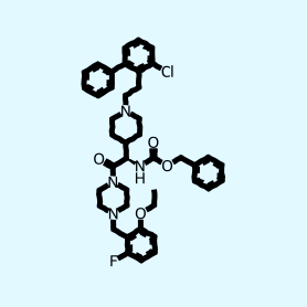 CCOc1cccc(F)c1CN1CCN(C(=O)[C@H](NC(=O)OCc2ccccc2)C2CCN(CCc3c(Cl)cccc3-c3ccccc3)CC2)CC1